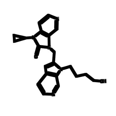 O=c1n(Cc2cc3ccncc3n2CCCCO)c2cnccc2n1C1CC1